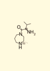 CC(C)[C@@H](N)C(=O)N1CCCN[C@@H](C)C1